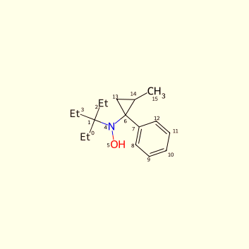 CCC(CC)(CC)N(O)C1(c2ccccc2)CC1C